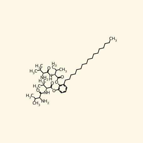 CCCCCCCCCCCCCCCCCc1cccc(OC(=O)[C@@H](NC(=O)[C@@H](N)C(C)C)C(C)C)c1OC(=O)[C@@H](NC(=O)[C@@H](N)C(C)C)C(C)C